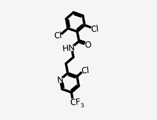 O=C(NCCc1ncc(C(F)(F)F)cc1Cl)c1c(Cl)cccc1Cl